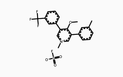 COc1c(-c2cccc(C)c2)c[n+](C)cc1-c1cccc(C(F)(F)F)c1.O=S(=O)([O-])F